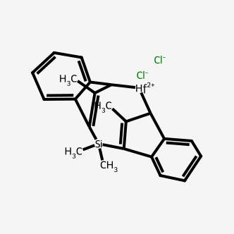 CC1=C2c3ccccc3[CH]1[Hf+2][CH]1C(C)=C(c3ccccc31)[Si]2(C)C.[Cl-].[Cl-]